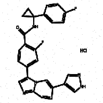 Cl.O=C(NC1(c2ccc(F)cc2)CC1)c1ccc(-c2cnc3ccc(-c4cn[nH]c4)cn23)cc1F